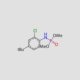 COP(=O)(Nc1ccc(C(C)(C)C)cc1Cl)OC